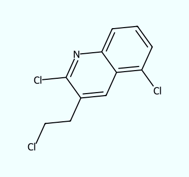 ClCCc1cc2c(Cl)cccc2nc1Cl